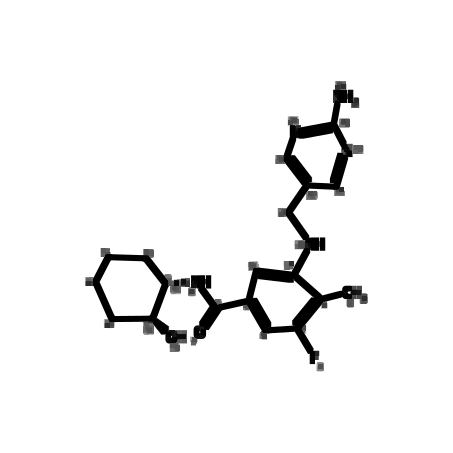 Cc1c(F)cc(C(=O)N[C@H]2CCCC[C@@H]2O)cc1NCc1cnc(N)nc1